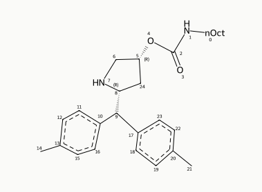 CCCCCCCCNC(=O)O[C@H]1CN[C@@H](C(c2ccc(C)cc2)c2ccc(C)cc2)C1